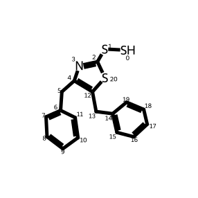 SSc1nc(Cc2ccccc2)c(Cc2ccccc2)s1